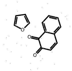 O=C1C=Cc2ccccc2C1=O.c1ccoc1